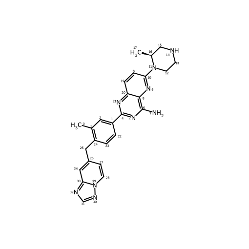 Cc1cc(-c2nc(N)c3nc(N4CCNC[C@@H]4C)ccc3n2)ccc1Cc1ccn2ncnc2c1